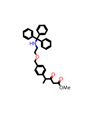 COC(=O)CC(=O)C(C)c1ccc(COCCNC(c2ccccc2)(c2ccccc2)c2ccccc2)cc1